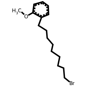 COc1ccccc1CCCCCCCCCBr